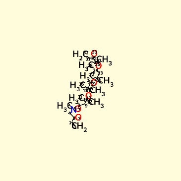 C=CC(=O)CN(C)OCCC(C)(C)OCC(C)(C)COC(C)(C)CCOC(C)(C)C(=O)C=C